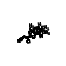 CC1(C)[C@@H]2C[C@H]1C1OB([C@@H](Cl)CC#N)O[C@@]1(C)C2